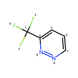 FC(F)(F)c1cccnn1